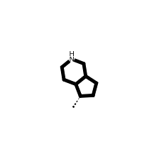 C[C@H]1CCC2CNCCC21